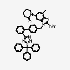 CCCc1nc2c(C)cc(N3CCCCC3=O)cc2n1Cc1ccc(-c2ccccc2-c2nnn(C(c3ccccc3)(c3ccccc3)c3ccccc3)n2)cc1